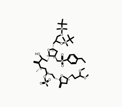 C=C1C[C@H](CCC(OC)OC)O[C@H]1CC[C@H](C[C@H](C)C(=C)C(O)C[C@@H]1O[C@H](CC(CO[Si](C)(C)C(C)(C)C)O[Si](C)(C)C(C)(C)C)C[C@H]1CS(=O)(=O)c1ccc(CC)cc1)OS(C)(=O)=O